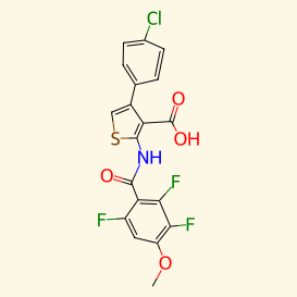 COc1cc(F)c(C(=O)Nc2scc(-c3ccc(Cl)cc3)c2C(=O)O)c(F)c1F